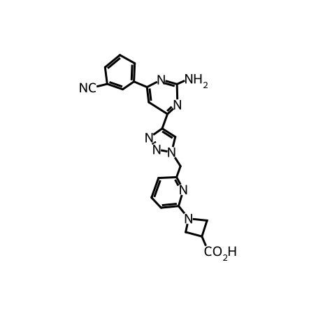 N#Cc1cccc(-c2cc(-c3cn(Cc4cccc(N5CC(C(=O)O)C5)n4)nn3)nc(N)n2)c1